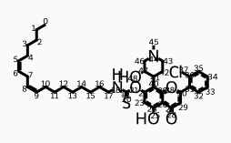 CCCCC/C=C\C/C=C\CCCCCCCCNC(=S)Oc1cc(O)c2c(=O)cc(-c3ccccc3Cl)oc2c1C1CCN(C)C[C@@H]1O